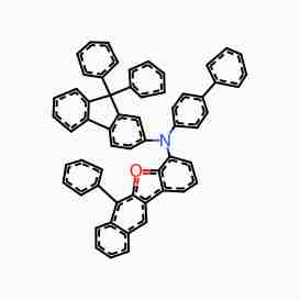 c1ccc(-c2ccc(N(c3ccc4c(c3)C(c3ccccc3)(c3ccccc3)c3ccccc3-4)c3cccc4c3oc3c(-c5ccccc5)c5ccccc5cc34)cc2)cc1